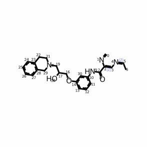 C=N/C(=C\N=C/C)C(=O)Nc1cccc(OCC(O)CN2CCc3ccccc3C2)c1